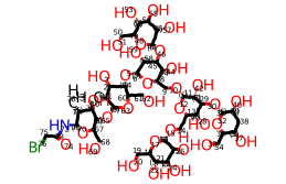 C[C@H]1C(O)[C@H](O[C@@H]2OC(CO[C@H]3OC(CO[C@H]4OC(CO)[C@@H](O)[C@H](O)C4O)[C@@H](O)C(O[C@@H]4OC(CO)[C@@H](O)C[C@H]4O)[C@H]3O)[C@@H](O)C(O[C@@H]3OC(CO)[C@H](O)C(O)[C@@H]3O)[C@H]2O)C(CO)O[C@H]1O[C@@H]1C(CO)O[C@@H](NC(=O)CBr)[C@@H](C)C1O